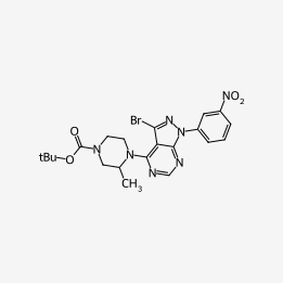 CC1CN(C(=O)OC(C)(C)C)CCN1c1ncnc2c1c(Br)nn2-c1cccc([N+](=O)[O-])c1